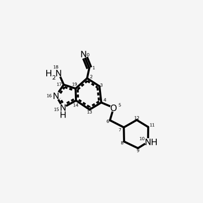 N#Cc1cc(OCC2CCNCC2)cc2[nH]nc(N)c12